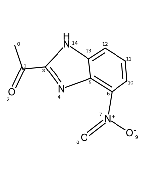 CC(=O)c1nc2c([N+](=O)[O-])cccc2[nH]1